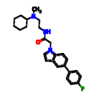 CN(CCNC(=O)Cn1ccc2cc(-c3ccc(F)cc3)ccc21)C1CCCCC1